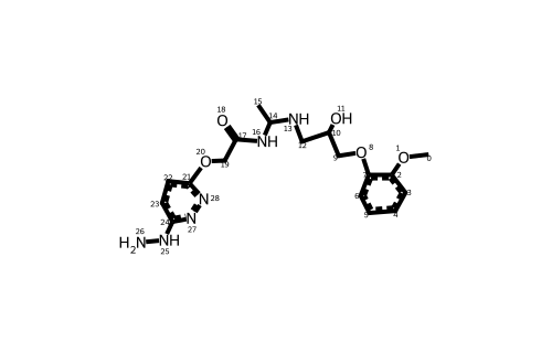 COc1ccccc1OCC(O)CNC(C)NC(=O)COc1ccc(NN)nn1